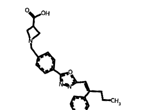 CCC/C(=C/c1nnc(-c2ccc(CN3CC(C(=O)O)C3)cc2)o1)c1ccccc1